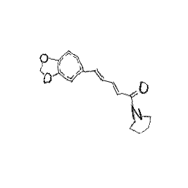 O=C(C=CC=Cc1ccc2c(c1)OCO2)N1CCCC1